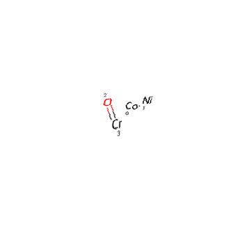 [Co].[Ni].[O]=[Cr]